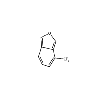 FC(F)(F)c1cccc2co[c]c12